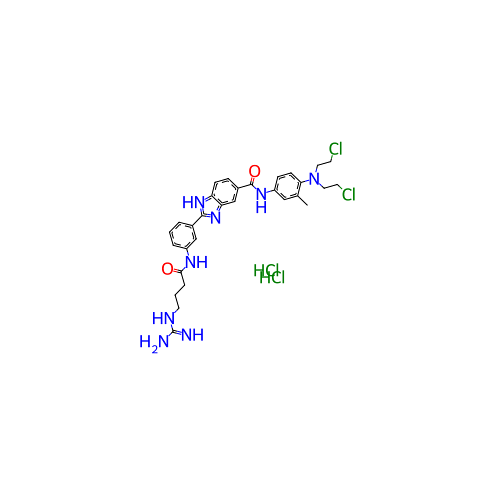 Cc1cc(NC(=O)c2ccc3[nH]c(-c4cccc(NC(=O)CCCNC(=N)N)c4)nc3c2)ccc1N(CCCl)CCCl.Cl.Cl